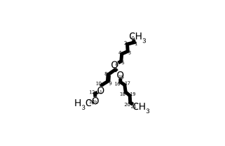 CCCCCCOC(C=CCOCOC)OCCCCCC